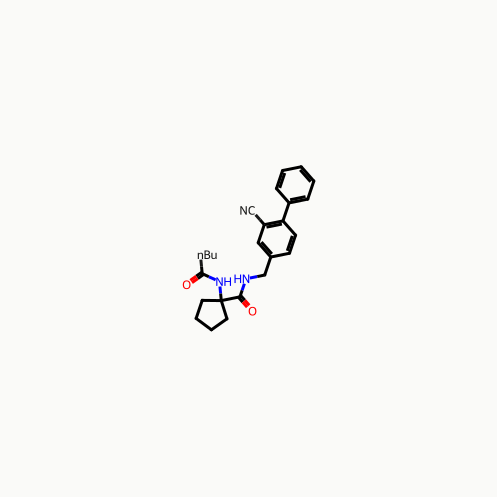 CCCCC(=O)NC1(C(=O)NCc2ccc(-c3ccccc3)c(C#N)c2)CCCC1